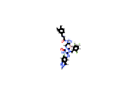 Cc1ccc(/C=C/C(=O)n2nncc2Cn2c(=O)[nH]/c(=N\c3cc4cn(C)nc4cc3Cl)n(Cc3cc(F)c(F)cc3F)c2=O)cc1C